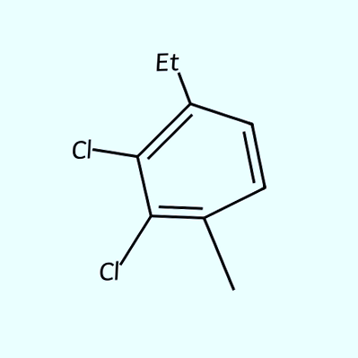 CCc1ccc(C)c(Cl)c1Cl